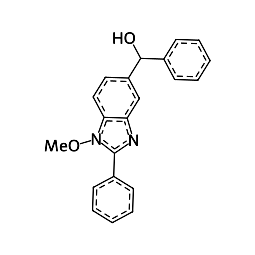 COn1c(-c2ccccc2)nc2cc(C(O)c3ccccc3)ccc21